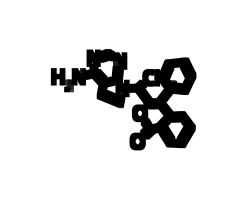 CC(c1oc(=O)c2ccccc2c1-c1ccccc1)n1ccc2c(N)ncnc21